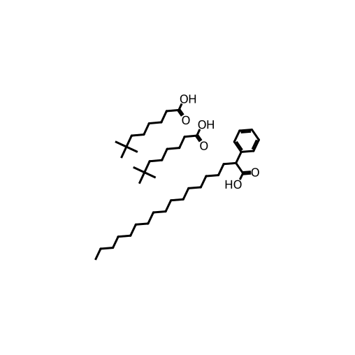 CC(C)(C)CCCCCC(=O)O.CC(C)(C)CCCCCC(=O)O.CCCCCCCCCCCCCCCCC(C(=O)O)c1ccccc1